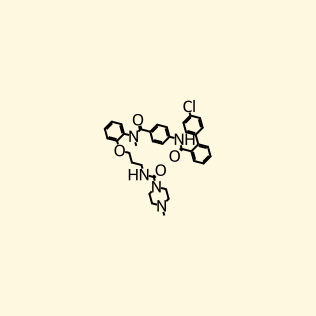 CN1CCN(C(=O)NCCCOc2ccccc2N(C)C(=O)c2ccc(NC(=O)c3ccccc3-c3ccc(Cl)cc3)cc2)CC1